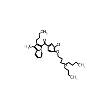 CCCCc1c(C)c2ccccn2c1C(=O)c1ccc(OCCCN(CCCC)CCCC)c(Cl)c1